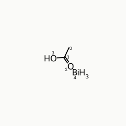 CC(=O)O.[BiH3]